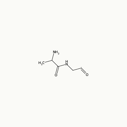 CC(N)C(=O)NC[C]=O